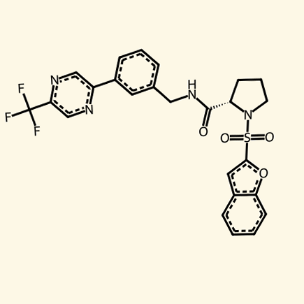 O=C(NCc1cccc(-c2cnc(C(F)(F)F)cn2)c1)[C@@H]1CCCN1S(=O)(=O)c1cc2ccccc2o1